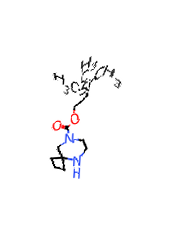 C[Si](C)(C)CCOC(=O)N1CCNC2(CCC2)C1